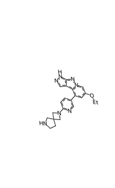 CCOc1cc(-c2ccc(N3CC4(CCNC4)C3)nc2)c2c3cn[nH]c3nn2c1